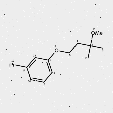 COC(C)(C)CCOc1cccc(C(C)C)c1